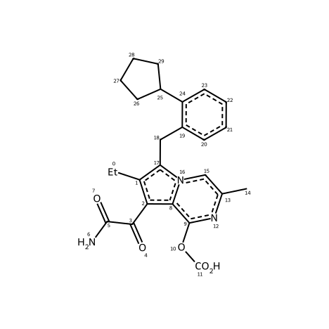 CCc1c(C(=O)C(N)=O)c2c(OC(=O)O)nc(C)cn2c1Cc1ccccc1C1CCCC1